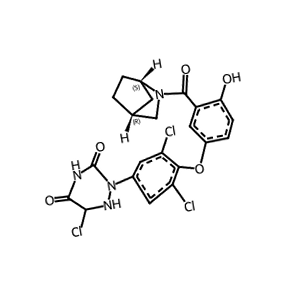 O=C1NC(=O)N(c2cc(Cl)c(Oc3ccc(O)c(C(=O)N4C[C@@H]5CC[C@H]4C5)c3)c(Cl)c2)NC1Cl